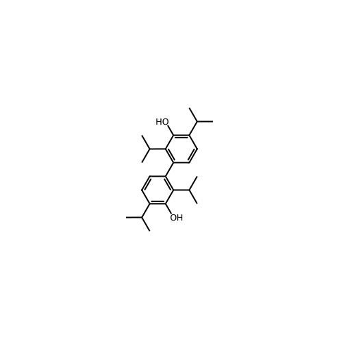 CC(C)c1ccc(-c2ccc(C(C)C)c(O)c2C(C)C)c(C(C)C)c1O